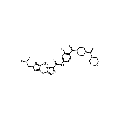 O=C(Nc1ccc(C(=O)N2CCN(C(=O)C3CCNCC3)CC2)c(Cl)c1)c1ncc(Cc2cn(CC(F)F)nc2C(F)(F)F)[nH]1